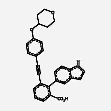 O=C(O)c1cccc(C#Cc2ccc(OC3CCOCC3)cc2)c1-c1ccc2[nH]ccc2c1